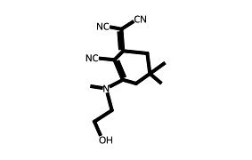 CN(CCO)C1=C(C#N)C(=C(C#N)C#N)CC(C)(C)C1